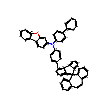 C1=Cc2ccccc2C2(c3ccccc31)c1ccccc1-c1c(-c3ccc(N(c4ccc(-c5ccccc5)cc4)c4ccc5c(c4)oc4ccccc45)cc3)cccc12